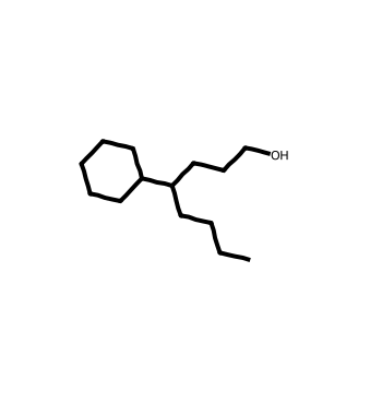 CCCCC(CCCO)C1CCCCC1